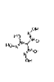 [O-]/[N+](=N\O)C(/[N+]([O-])=N/O)/[N+](O)=N/O